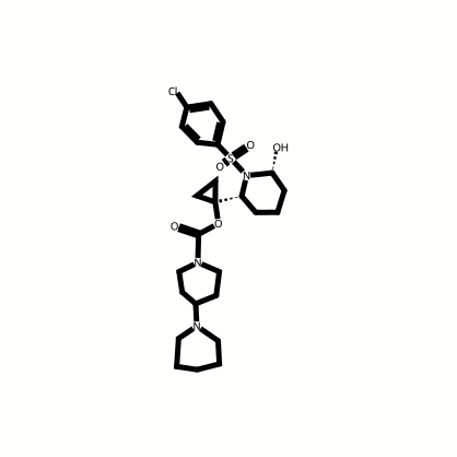 O=C(OC1([C@H]2CCC[C@@H](O)N2S(=O)(=O)c2ccc(Cl)cc2)CC1)N1CCC(N2CCCCC2)CC1